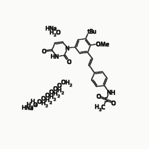 COc1c(/C=C/c2ccc(NS(C)(=O)=O)cc2)cc(-n2ccc(=O)[nH]c2=O)cc1C(C)(C)C.O.O.O.O.O.O.O.O.O.[NaH].[NaH]